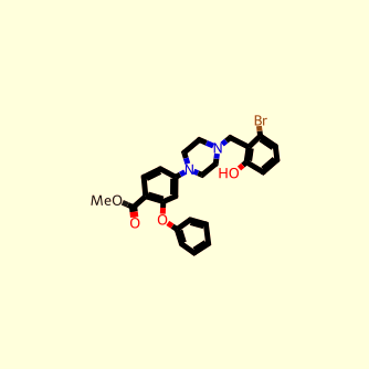 COC(=O)c1ccc(N2CCN(Cc3c(O)cccc3Br)CC2)cc1Oc1ccccc1